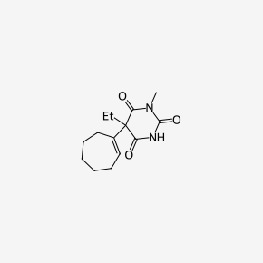 CCC1(C2=CCCCCC2)C(=O)NC(=O)N(C)C1=O